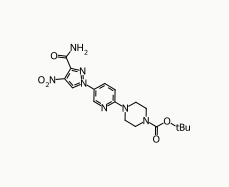 CC(C)(C)OC(=O)N1CCN(c2ccc(-n3cc([N+](=O)[O-])c(C(N)=O)n3)cn2)CC1